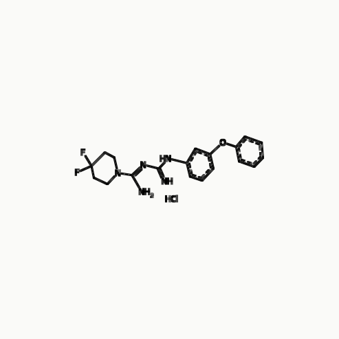 Cl.N=C(N=C(N)N1CCC(F)(F)CC1)Nc1cccc(Oc2ccccc2)c1